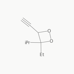 C#CC1OOC1(CC)C(C)C